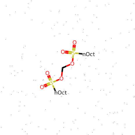 CCCCCCCCS(=O)(=O)OCOS(=O)(=O)CCCCCCCC